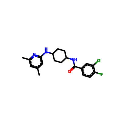 Cc1cc(C)nc(NC2CCC(NC(=O)c3ccc(F)c(Cl)c3)CC2)c1